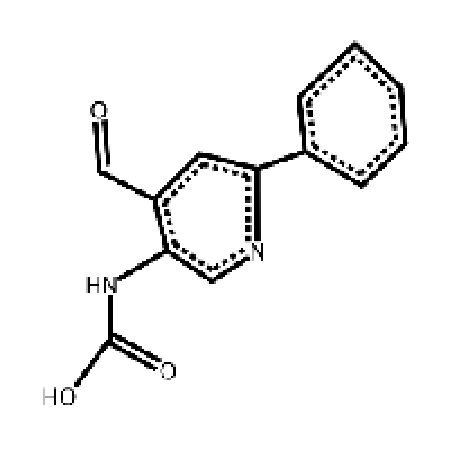 O=Cc1cc(-c2ccccc2)ncc1NC(=O)O